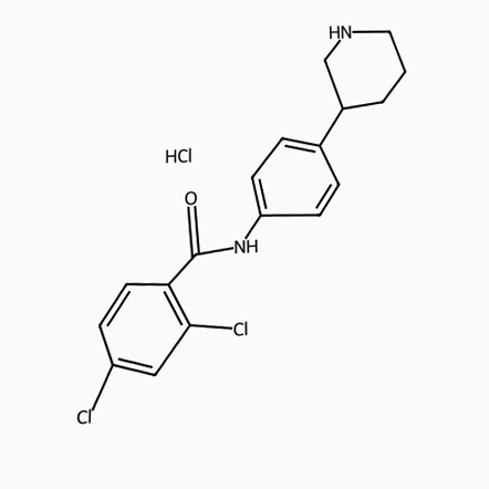 Cl.O=C(Nc1ccc(C2CCCNC2)cc1)c1ccc(Cl)cc1Cl